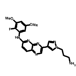 COc1cc(Nc2ccc3ncc(-c4cnn(CCCN)c4)nc3n2)c(F)c(OC)c1